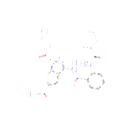 CCOC(=O)n1nc(NC(=O)c2ccccc2NC(=O)C2CCOCC2)c2cc(C(=O)O)sc21